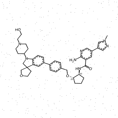 Cn1cc(-c2cnc(N)c(C(=O)N[C@H]3CCC[C@@H]3OCc3ccc(-c4ccc5c(c4)C4(CCOC4)CN5C4CCN(CCO)CC4)cc3)c2)cn1